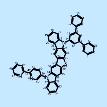 c1ccc(-c2cc(-c3ccccc3)cc(-n3c4ccccc4c4cc5c(cc43)sc3cc4c6ccccc6n(-c6ccc(-c7ccccn7)nc6)c4cc35)c2)cc1